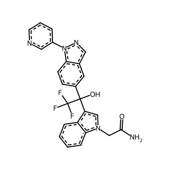 NC(=O)Cn1cc(C(O)(c2ccc3c(cnn3-c3cccnc3)c2)C(F)(F)F)c2ccccc21